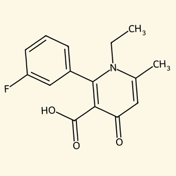 CCn1c(C)cc(=O)c(C(=O)O)c1-c1cccc(F)c1